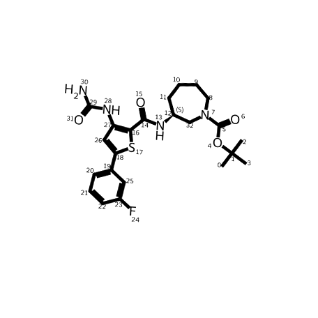 CC(C)(C)OC(=O)N1CCCC[C@H](NC(=O)c2sc(-c3cccc(F)c3)cc2NC(N)=O)C1